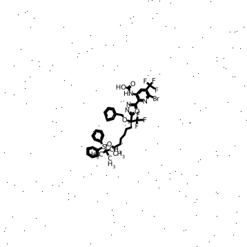 C[C@@H](CCCCC[C@@](OCc1ccccc1)(c1nnc(-c2nc(Br)c(C(F)(F)F)cc2NC(=O)O)o1)C(F)(F)F)O[Si](c1ccccc1)(c1ccccc1)C(C)(C)C